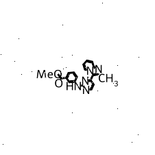 COC(=O)c1cccc(Nc2nccc(-c3c(C)nc4ccccn34)n2)c1